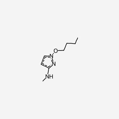 CCCCOn1ccc(NC)n1